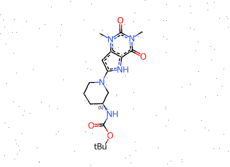 Cn1c(=O)c2[nH]c(N3CCC[C@H](NC(=O)OC(C)(C)C)C3)cc2n(C)c1=O